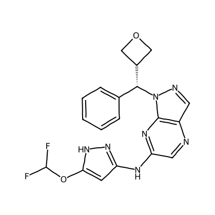 FC(F)Oc1cc(Nc2cnc3cnn([C@H](c4ccccc4)C4COC4)c3n2)n[nH]1